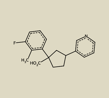 Cc1c(F)cccc1C1(C(=O)O)CCC(c2cccnc2)C1